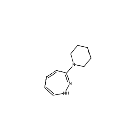 C1=CNN=C(N2CCCCC2)C=C1